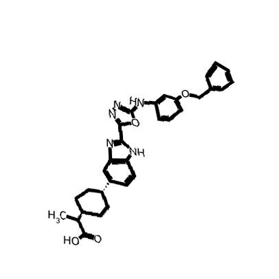 CC(C(=O)O)[C@H]1CC[C@H](c2ccc3[nH]c(-c4nnc(Nc5cccc(OCc6ccccc6)c5)o4)nc3c2)CC1